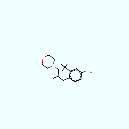 COc1ccc(CC(C)CN2C[C@@H](C)O[C@@H](C)C2)c(C(C)(C)C)c1